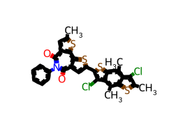 Cc1cc2c(=O)n(-c3ccccc3)c(=O)c3cc(-c4sc5c(C)c6c(Cl)c(C)sc6c(C)c5c4Cl)sc3c2s1